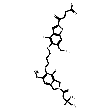 COc1cc2c(c(F)c1OCCCOc1c(OC)cc3sc(C(=O)CCC(=O)O)cc3c1F)CN(C(=O)OC(C)(C)C)C2